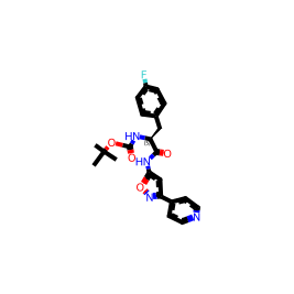 CC(C)(C)OC(=O)N[C@@H](Cc1ccc(F)cc1)C(=O)Nc1cc(-c2ccncc2)no1